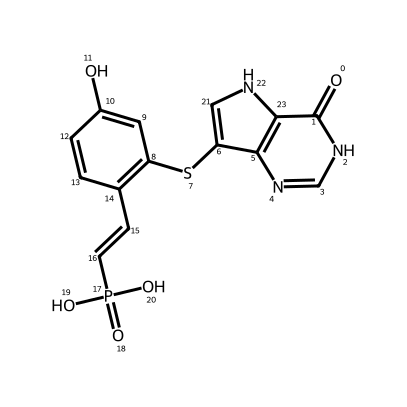 O=c1[nH]cnc2c(Sc3cc(O)ccc3/C=C/P(=O)(O)O)c[nH]c12